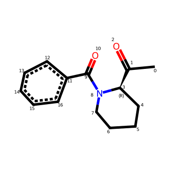 CC(=O)[C@H]1CCCCN1C(=O)c1ccccc1